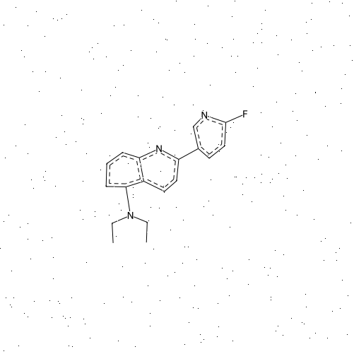 CCN(CC)c1cccc2nc(-c3ccc(F)nc3)ccc12